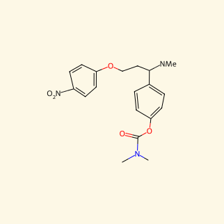 CNC(CCOc1ccc([N+](=O)[O-])cc1)c1ccc(OC(=O)N(C)C)cc1